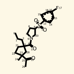 CCCC1(C(=O)N2CCC(S(=O)(=O)c3ccc(F)cc3)C2)CCC(C)(C(C)=O)C1